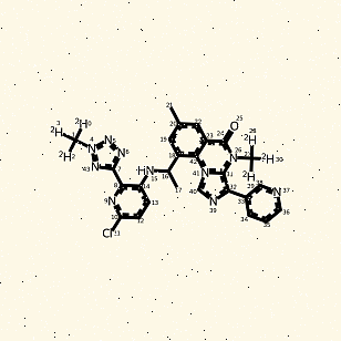 [2H]C([2H])([2H])n1nnc(-c2nc(Cl)ccc2NC(C)c2cc(C)cc3c(=O)n(C([2H])([2H])[2H])c4c(-c5cccnc5)ncn4c23)n1